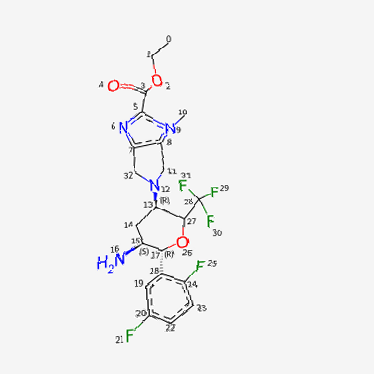 CCOC(=O)c1nc2c(n1C)CN([C@@H]1C[C@H](N)[C@@H](c3cc(F)ccc3F)OC1C(F)(F)F)C2